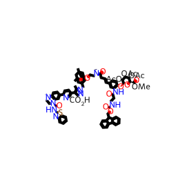 COC(=O)[C@H]1O[C@@H](Oc2ccc(/C=C/CC(=O)N(C)CCOC34CC5(C)CC(C)(CC(Cn6ncc(-c7ccc(-c8ccc9c(c8)N(C(=O)Nc8nc%10ccccc%10s8)CCN9C)nc7C(=O)O)c6C)(C5)C3)C4)cc2NC(=O)CCNC(=O)OCC2c3ccccc3-c3ccccc32)[C@H](OC(C)=O)[C@@H](OC(C)=O)[C@@H]1OC(C)=O